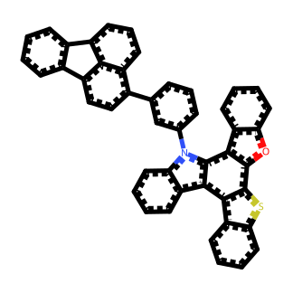 c1cc(-c2ccc3c4c(cccc24)-c2ccccc2-3)cc(-n2c3ccccc3c3c4c5ccccc5sc4c4oc5ccccc5c4c32)c1